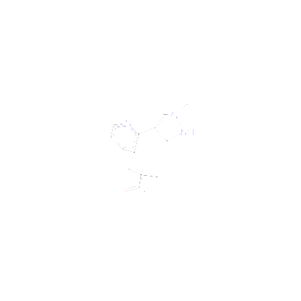 CN1C=C(c2ncccc2SC(C)(C)C=O)CN1